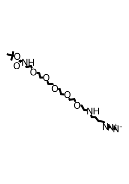 CC(C)(C)OC(=O)NCCOCCOCCOCCOCCOCCNCCCCN=[N+]=[N-]